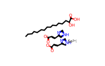 CCCCCCCCCCCCCCC(O)C(=O)O.O=C([O-])C=Cc1c[nH]cn1.O=C([O-])C=Cc1c[nH]cn1.[Se+2]